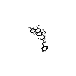 COC1C[C@H]2[C@@H]3CC[C@H]([C@H](C)C(=O)NCc4ccncc4)[C@@]3(C)CC[C@@H]2[C@@]2(C)CC[C@@H]3C[C@@]132